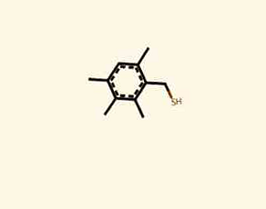 Cc1cc(C)c(CS)c(C)c1C